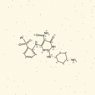 CC(C)S(=O)(=O)c1ccccc1Nc1nc(N[C@H]2CC[C@@H](N)CC2)[nH]c(=O)c1C(N)=O